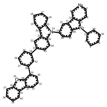 c1ccc(-n2c3ccncc3c3cc(-n4c5ccccc5c5cc(-c6cccc(-c7cccc8c7oc7ccccc78)c6)ccc54)ccc32)cc1